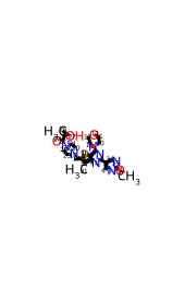 COc1ncc(-c2nc(N3CCOCC3)c3sc(CN4CCN(C(=O)C(C)O)CC4)c(C)c3n2)cn1